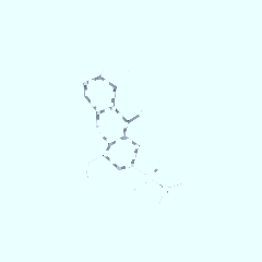 CCOc1cc(S(=O)(=O)N(C)C)cc2c(=O)c3cc(C(=O)O)ccc3oc12